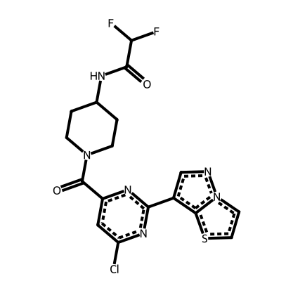 O=C(NC1CCN(C(=O)c2cc(Cl)nc(-c3cnn4ccsc34)n2)CC1)C(F)F